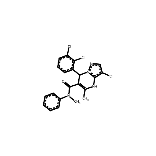 CC1=C(C(=O)N(C)c2ccccc2)C(c2cccc(Cl)c2Cl)n2ncc(Cl)c2N1